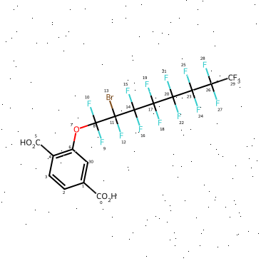 O=C(O)c1ccc(C(=O)O)c(OC(F)(F)C(F)(Br)C(F)(F)C(F)(F)C(F)(F)C(F)(F)C(F)(F)C(F)(F)F)c1